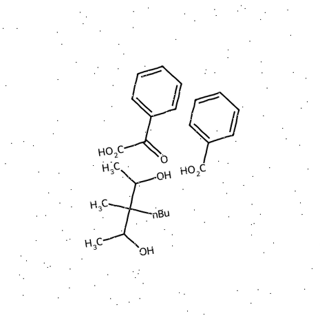 CCCCC(C)(C(C)O)C(C)O.O=C(O)C(=O)c1ccccc1.O=C(O)c1ccccc1